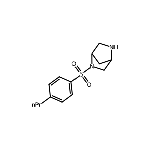 CCCc1ccc(S(=O)(=O)N2CC3CC2CN3)cc1